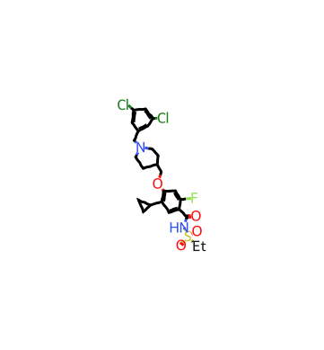 CCS(=O)(=O)NC(=O)c1cc(C2CC2)c(OCC2CCN(Cc3cc(Cl)cc(Cl)c3)CC2)cc1F